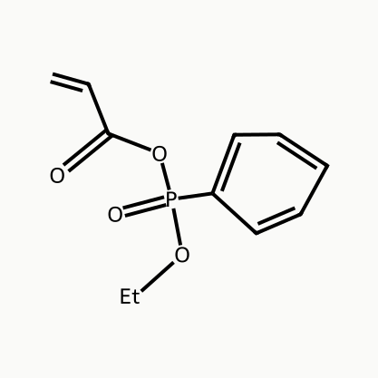 C=CC(=O)OP(=O)(OCC)c1ccccc1